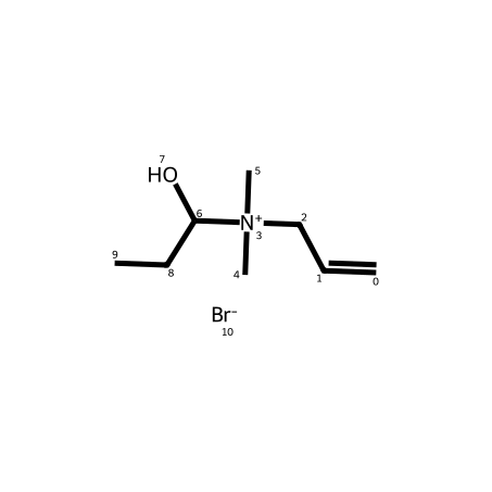 C=CC[N+](C)(C)C(O)CC.[Br-]